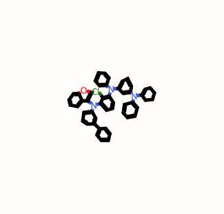 Clc1c(N(c2ccccc2)c2cccc(N(C3=CCCCC3)c3ccccc3)c2)cccc1N(c1cccc(-c2ccccc2)c1)c1coc2ccccc12